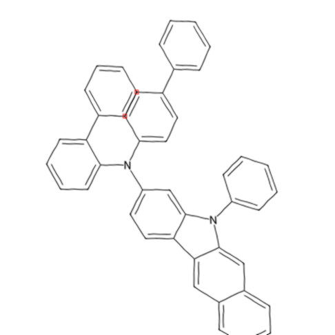 c1ccc(-c2ccc(N(c3ccc4c5cc6ccccc6cc5n(-c5ccccc5)c4c3)c3ccccc3-c3ccccc3)cc2)cc1